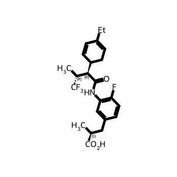 CCC1=CCC([C@@H](C(=O)Nc2cc(C[C@H](C)C(=O)O)ccc2F)[C@@H](C)C(F)(F)F)C=C1